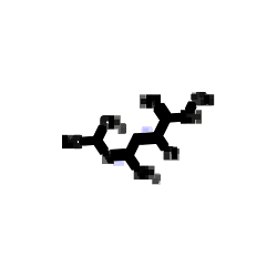 CC/C(=C\C(N)=N/C(C)C#N)C(=N)NC(C)(C)C